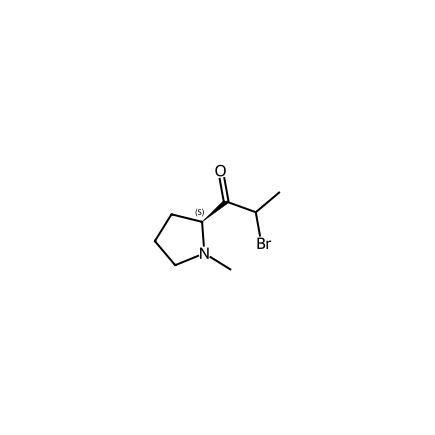 CC(Br)C(=O)[C@@H]1CCCN1C